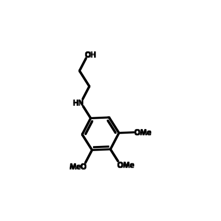 COc1cc(NCCO)cc(OC)c1OC